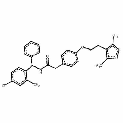 Cc1cc(Cl)ccc1C(NC(=O)Cc1ccc(OCCc2c(C)noc2C)cc1)c1ccccc1